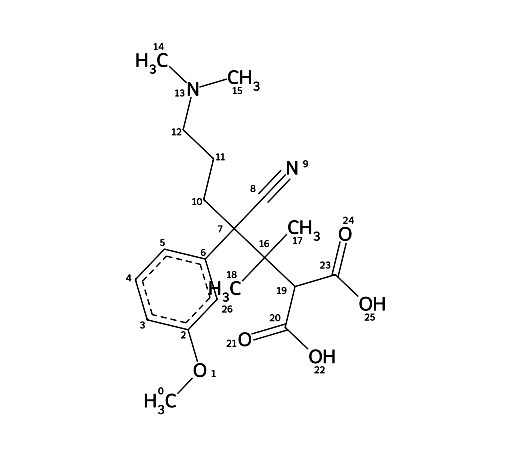 COc1cccc(C(C#N)(CCCN(C)C)C(C)(C)C(C(=O)O)C(=O)O)c1